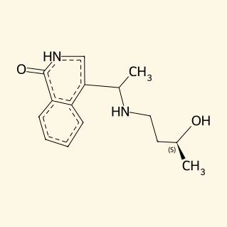 CC(NCC[C@H](C)O)c1c[nH]c(=O)c2ccccc12